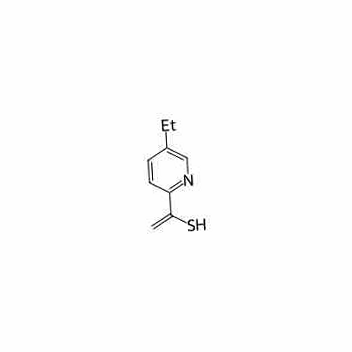 C=C(S)c1ccc(CC)cn1